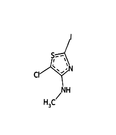 CNc1nc(I)sc1Cl